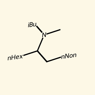 CCCCCCCCCCC(CCCCCC)N(C)C(C)CC